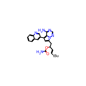 CC(C)(C)C=CC(Cc1cc(-c2cnc3ccccc3c2)c2c(N)ncnn12)OC(N)=O